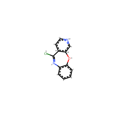 ClC1=Nc2ccccc2Oc2cnccc21